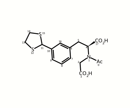 CC(=O)N(CC(=O)O)[C@@H](Cc1cccc(C2SCCS2)c1)C(=O)O